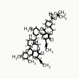 CC#Cc1nc(N2CCN(C)C[C@@H]2CC2NCCN3C(=O)c4c(N5CCN(C)C[C@@H]5C)nc(C#CC)c(Cl)c4OC[C@@H]23)c2c(c1Cl)OCC1CN(C(=O)OC(C)(C)C)CCN1C2=O